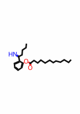 CCCCCCCCCCCC(=O)Oc1ccccc1C(=N)CCCC